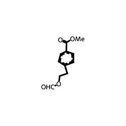 COC(=O)c1ccc(CCOC=O)cc1